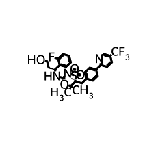 CC1(C)OC(N[C@@H](CCO)c2ccccc2F)=NS(=O)(=O)C1Cc1ccc(-c2ccc(C(F)(F)F)cn2)cc1